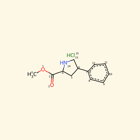 COC(=O)C1CC(c2ccccc2)CN1.Cl